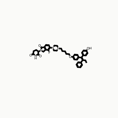 CC/C(=C(\c1ccc(O)cc1)c1ccc(OCCCCCN2CCN(c3ccc4c(c3F)CN(C3CCC(=O)NC3=O)C4=O)CC2)cc1)c1ccccc1